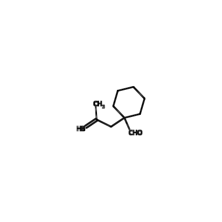 B=C(C)CC1(C=O)CCCCC1